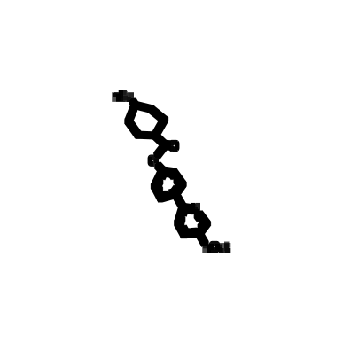 CCCCCCCCc1ccc(-c2ccc(OC(=O)C3CCC(CCCC)CC3)cc2)nc1